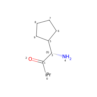 CC(C)C(=O)[C@@H](N)C1CCCC1